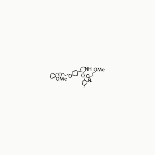 COCCCC(=O)N(C)c1cc(C)ccc1COC1CNCCC1c1ccc(OCCCOCc2ccccc2OC)cc1